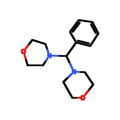 c1ccc(C(N2CCOCC2)N2CCOCC2)cc1